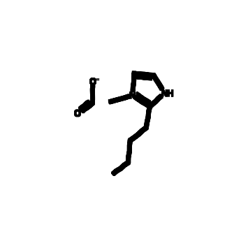 CCCCc1[nH]cc[n+]1C.O=C[O-]